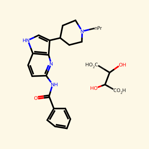 CCCN1CCC(c2c[nH]c3ccc(NC(=O)c4ccccc4)nc23)CC1.O=C(O)C(O)C(O)C(=O)O